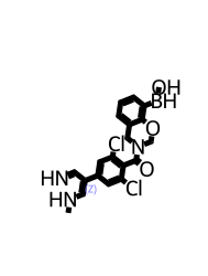 CN/C=C(\C=N)c1cc(Cl)c(C(=O)N2COc3c(BO)cccc3C2)c(Cl)c1